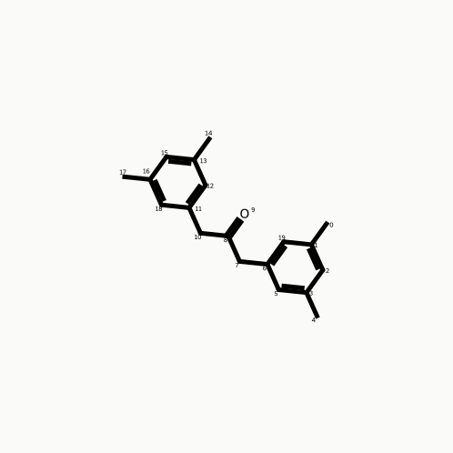 Cc1cc(C)cc(CC(=O)Cc2cc(C)cc(C)c2)c1